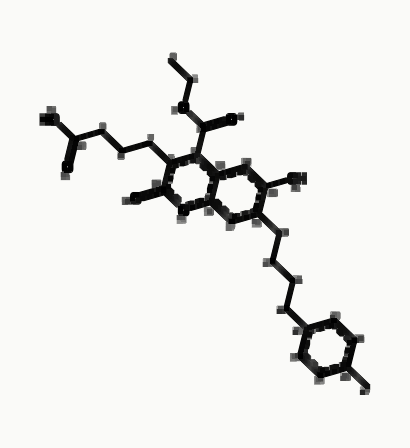 CCOC(=O)c1c(CCCC(=O)O)c(=O)oc2cc(CCCCc3ccc(C)cc3)c(O)cc12